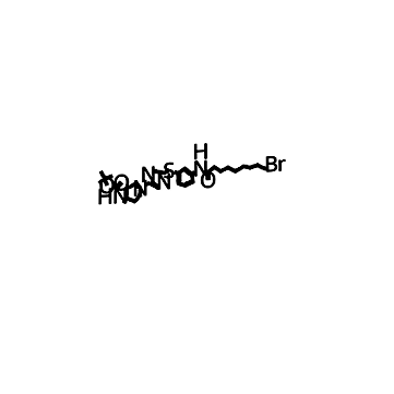 CC1(NC(=O)OC(C)(C)C)CCN(c2cnc(Sc3cccc(NC(=O)CCCCCCCCBr)c3)cn2)CC1